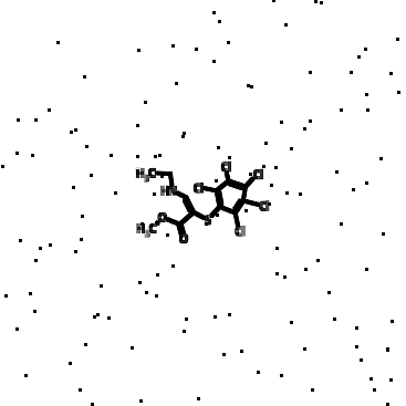 CCNC=C(Sc1c(Cl)c(Cl)c(Cl)c(Cl)c1Cl)C(=O)OC